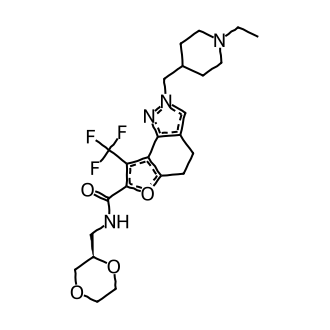 CCN1CCC(Cn2cc3c(n2)-c2c(oc(C(=O)NC[C@@H]4COCCO4)c2C(F)(F)F)CC3)CC1